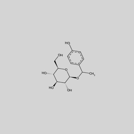 CC(O[C@@H]1O[C@H](CO)[C@@H](O)[C@H](O)[C@H]1O)c1ccc(O)cc1